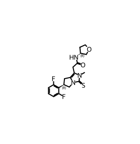 Cn1c(CC(=O)N[C@@H]2CCOC2)c2n(c1=S)C[C@@H](c1c(F)cccc1F)C2